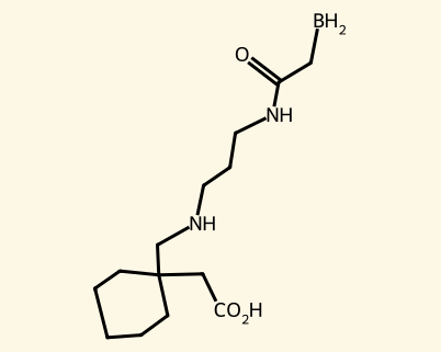 BCC(=O)NCCCNCC1(CC(=O)O)CCCCC1